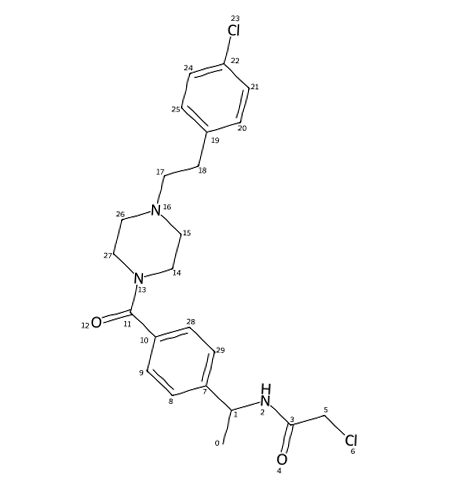 CC(NC(=O)CCl)c1ccc(C(=O)N2CCN(CCc3ccc(Cl)cc3)CC2)cc1